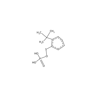 CC(C)(C)c1ccccc1SOP(=O)(O)O